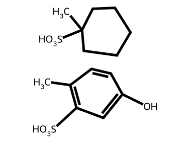 CC1(S(=O)(=O)O)CCCCC1.Cc1ccc(O)cc1S(=O)(=O)O